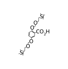 C[Si](C)(C)CCOCOc1ccc(OCOCC[Si](C)(C)C)c(C(=O)O)c1